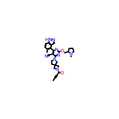 CC#CC(=O)N1CC2(CCN(c3nc(OCC4CCCN4C)nc(-c4c(C)ccc5[nH]ncc45)c3C#N)C2)C1